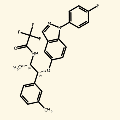 Cc1cccc([C@@H](Oc2ccc3c(cnn3-c3ccc(F)cc3)c2)[C@H](C)NC(=O)C(F)(F)F)c1